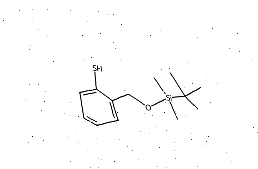 CC(C)(C)[Si](C)(C)OCc1ccccc1S